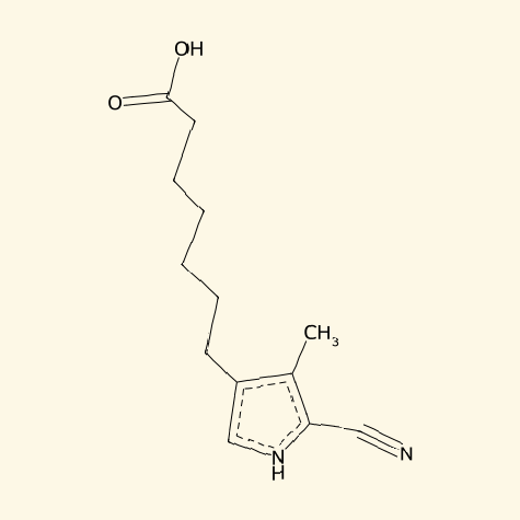 Cc1c(CCCCCCC(=O)O)c[nH]c1C#N